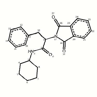 O=C(NC1CCCCC1)C(Cc1ccccc1)N1C(=O)c2ccccc2C1=O